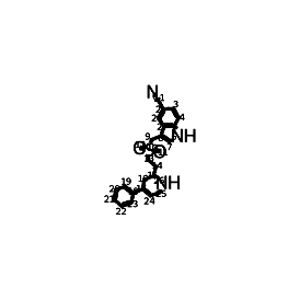 N#Cc1ccc2[nH]cc(CS(=O)(=O)CCC3CC(c4ccccc4)=CCN3)c2c1